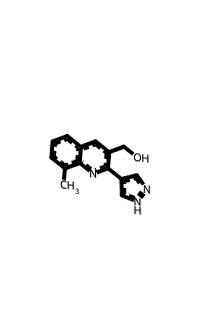 Cc1cccc2cc(CO)c(-c3cn[nH]c3)nc12